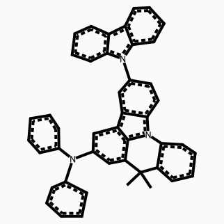 CC1(C)c2ccccc2-n2c3ccc(-n4c5ccccc5c5ccccc54)cc3c3cc(N(c4ccccc4)c4ccccc4)cc1c32